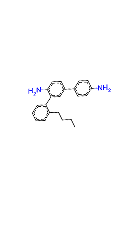 CCCCc1ccccc1-c1cc(-c2ccc(N)cc2)ccc1N